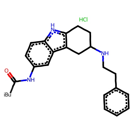 CCC(C)C(=O)Nc1ccc2[nH]c3c(c2c1)CC(NCCc1ccccc1)CC3.Cl